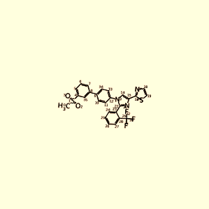 CS(=O)(=O)c1cccc(-c2ccc(-n3cc(-c4nccs4)nc3-c3ccccc3C(F)(F)F)cc2)c1